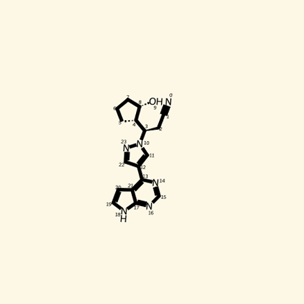 N#CC[C@H]([C@@H]1CCC[C@@H]1O)n1cc(-c2ncnc3[nH]ccc23)cn1